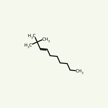 CCCCCCC=CC(C)(C)C